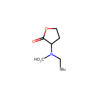 CC(C)(C)CN(C(=O)O)C1CCOC1=O